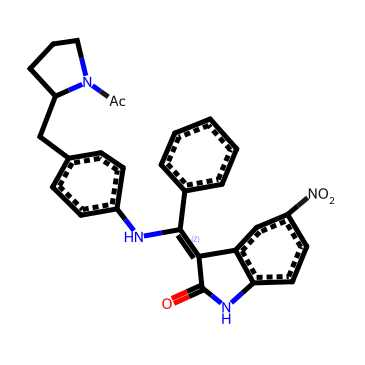 CC(=O)N1CCCC1Cc1ccc(N/C(=C2\C(=O)Nc3ccc([N+](=O)[O-])cc32)c2ccccc2)cc1